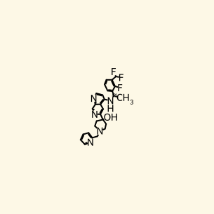 C[C@@H](Nc1ccnc2cnc(C3(O)CCN(Cc4ccccn4)CC3)cc12)c1cccc(C(F)F)c1F